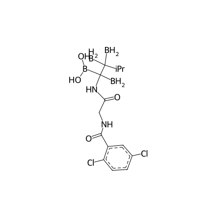 BC(NC(=O)CNC(=O)c1cc(Cl)ccc1Cl)(B(O)O)C(B)(B)C(C)C